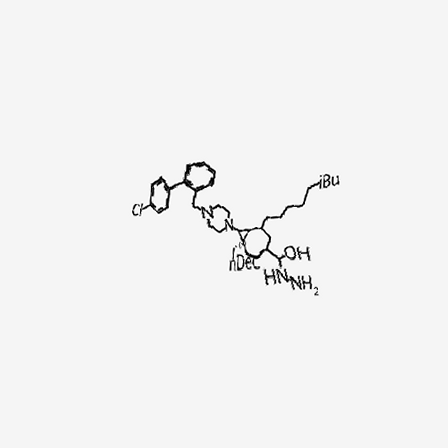 CCCCCCCCCCC[C@@]12CCC(C(O)NN)CC(CCCCCC(C)CC)C1C2N1CCN(Cc2ccccc2-c2ccc(Cl)cc2)CC1